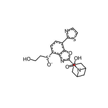 O=C(O)N1C2CC1CN(c1nc3c([S+]([O-])CCO)ccc(-c4nccs4)c3o1)C2